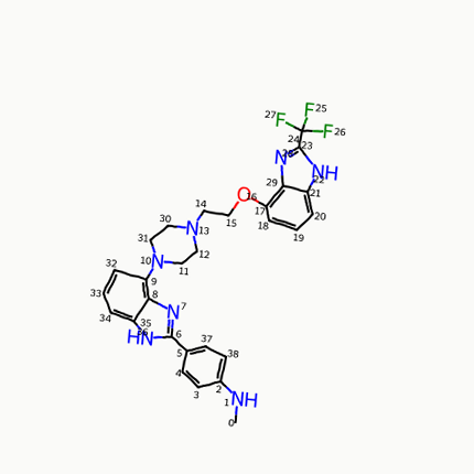 CNc1ccc(-c2nc3c(N4CCN(CCOc5cccc6[nH]c(C(F)(F)F)nc56)CC4)cccc3[nH]2)cc1